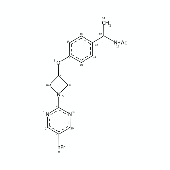 CCCc1cnc(N2CC(Oc3ccc(C(C)NC(C)=O)cc3)C2)nc1